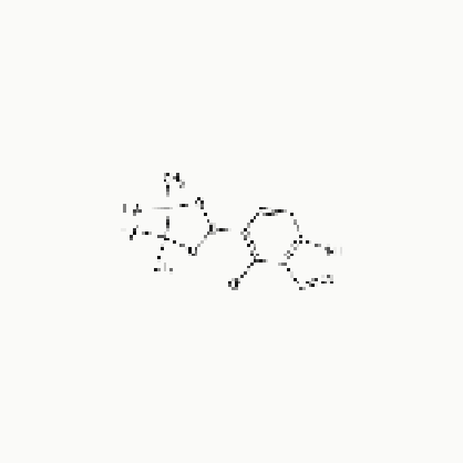 CC1(C)OB(c2ccc3[nH]ncc3c2Cl)OC1(C)C